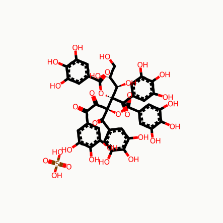 O=C(O[C@](C(=O)C(=O)c1cc(O)c(O)c(O)c1)(C(=O)c1cc(O)c(O)c(O)c1)[C@](OC(=O)c1cc(O)c(O)c(O)c1)(C(=O)c1cc(O)c(O)c(O)c1)[C@H](O)[C@H](O)CO)c1cc(O)c(O)c(O)c1.O=S(=O)(O)O